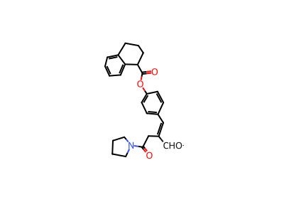 O=[C]C(=Cc1ccc(OC(=O)C2CCCc3ccccc32)cc1)CC(=O)N1CCCC1